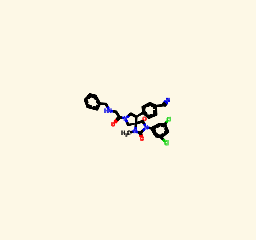 CN1C(=O)N(c2cc(Cl)cc(Cl)c2)C(=O)[C@]12CN(C(=O)CNCc1ccccc1)C[C@H]2c1ccc(C#N)cc1